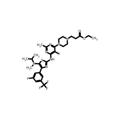 CCOC(=O)CCN1CCN(c2nc(C)nc(Nc3nc(-c4cc(F)cc(C(F)(F)F)c4)c(N(C)C(C)C)s3)c2F)CC1